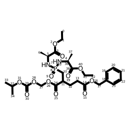 CCOC(=O)[C@H](C)NP(=O)(CC(CCC(=O)OCc1ccccc1)C(=O)OCOC(=O)OC(C)C)N[C@@H](C)C(=O)OCC